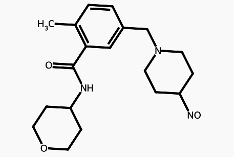 Cc1ccc(CN2CCC(N=O)CC2)cc1C(=O)NC1CCOCC1